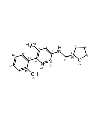 Cc1cc(NC[C@H]2CCCO2)nnc1-c1ccccc1O